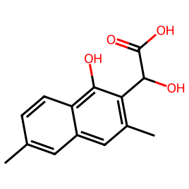 Cc1ccc2c(O)c(C(O)C(=O)O)c(C)cc2c1